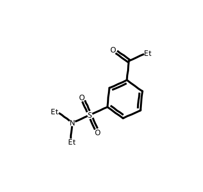 CCC(=O)c1cccc(S(=O)(=O)N(CC)CC)c1